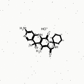 Cl.[2H]C1([2H])c2cnc(N)cc2Nc2c1c(C)c1n(c2=O)C2(CCCCC2)NC1=O